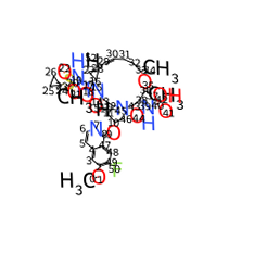 COc1cc2ccnc(O[C@@H]3C[C@H]4C(=O)N[C@]5(C(=O)NS(=O)(=O)C6(C)CC6)C[C@H]5C=CCC[C@@H](C)O[C@@H](C)[C@H](NC(=O)O)C(=O)N4C3)c2cc1F